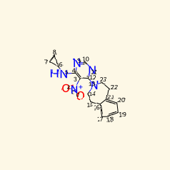 O=[N+]([O-])c1c(NC2CC2)ncnc1N1CCc2ccccc2CC1